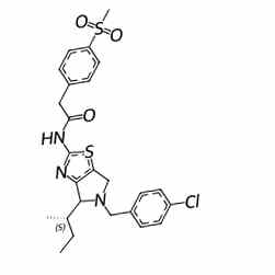 CC[C@H](C)C1c2nc(NC(=O)Cc3ccc(S(C)(=O)=O)cc3)sc2CN1Cc1ccc(Cl)cc1